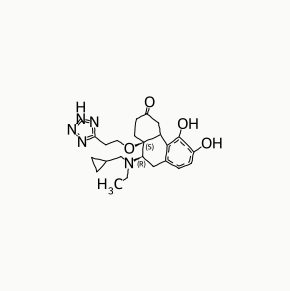 CCN(CC1CC1)[C@@H]1Cc2ccc(O)c(O)c2C2CC(=O)CC[C@]21OCCc1nn[nH]n1